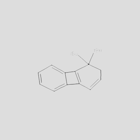 CC(C)(C)C1(C(C)(C)C)CC=CC2=C1c1ccccc12